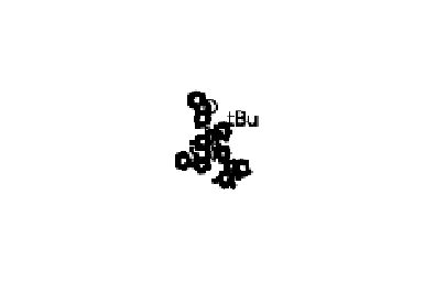 Cc1cc2c3c(c1)N(c1cccc4c1sc1ccccc14)c1cc(N4c5cc(C)cc(C)c5C5(C)CCCCC45C)ccc1B3c1ccc(C(C)(C)C)cc1N2c1ccc2c(c1)oc1ccccc12